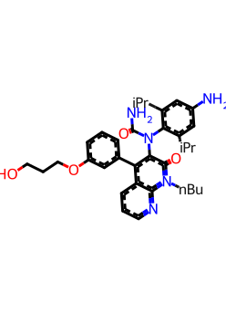 CCCCn1c(=O)c(N(C(N)=O)c2c(C(C)C)cc(N)cc2C(C)C)c(-c2cccc(OCCCO)c2)c2cccnc21